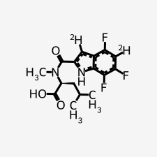 [2H]c1c(F)c(F)c2[nH]c(C(=O)N(C)[C@@H](CC(C)C)C(=O)O)c([2H])c2c1F